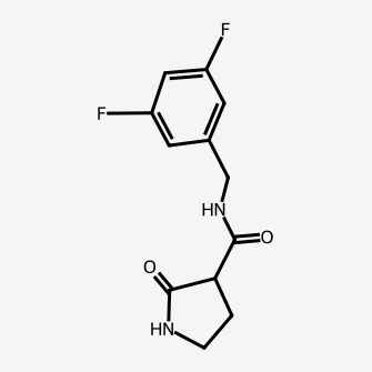 O=C1NCCC1C(=O)NCc1cc(F)cc(F)c1